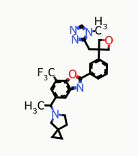 CC(c1cc(C(F)(F)F)c2oc(-c3cccc(C4(Cc5nncn5C)COC4)c3)nc2c1)N1CCC2(CC2)C1